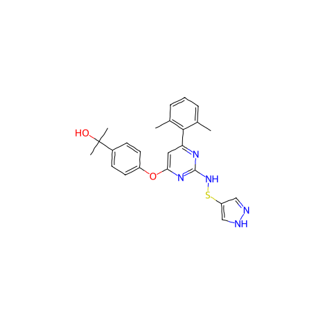 Cc1cccc(C)c1-c1cc(Oc2ccc(C(C)(C)O)cc2)nc(NSc2cn[nH]c2)n1